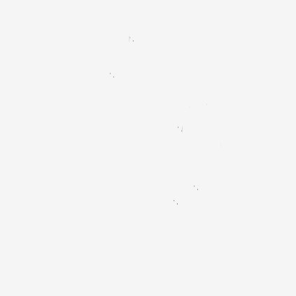 CCC1Cc2c(nn(C)c2-c2cc(Cl)cc(Cl)c2)C(CC)N1C(=O)c1ccc2nccnc2c1